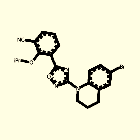 CC(C)Oc1c(C#N)cccc1-c1nc(N2CCCc3cc(Br)ccc32)no1